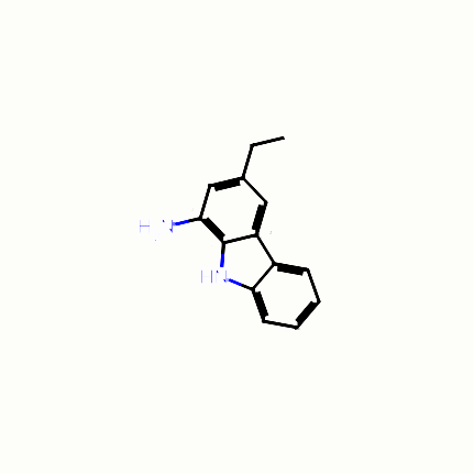 CCc1cc(N)c2[nH]c3ccccc3c2c1